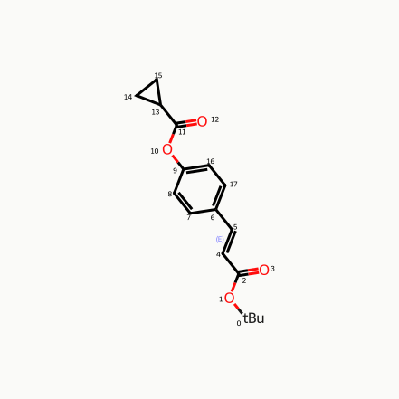 CC(C)(C)OC(=O)/C=C/c1ccc(OC(=O)C2CC2)cc1